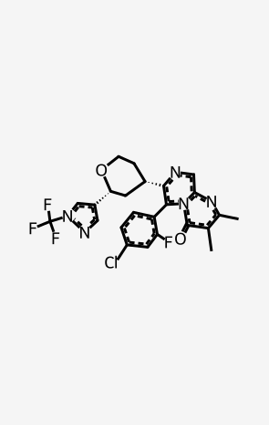 Cc1nc2cnc([C@H]3CCO[C@@H](c4cnn(C(F)(F)F)c4)C3)c(-c3ccc(Cl)cc3F)n2c(=O)c1C